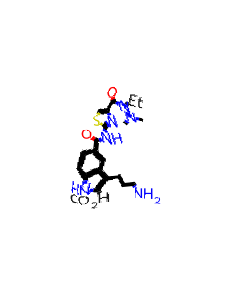 CCN(C(=O)c1csc(NC(=O)c2ccc3[nH]c(C(=O)O)c(CCCN)c3c2)n1)N(C)C